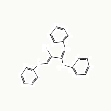 CCC(=C\Oc1ccccc1)/C(=N\c1ccccc1)Oc1ccccc1